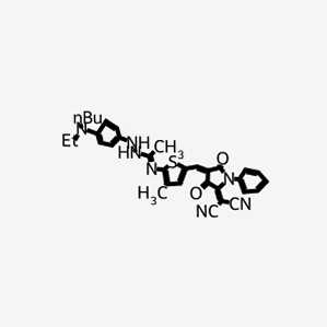 CCCCN(CC)c1ccc(NN/C(C)=N/c2sc(/C=C3\C(=O)C(=C(C#N)C#N)N(c4ccccc4)C3=O)cc2C)cc1